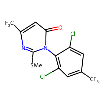 CSc1nc(C(F)(F)F)cc(=O)n1-c1c(Cl)cc(C(F)(F)F)cc1Cl